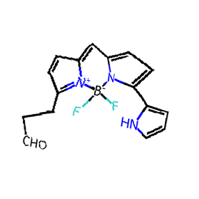 O=CCCC1=[N+]2C(=Cc3ccc(-c4ccc[nH]4)n3[B-]2(F)F)C=C1